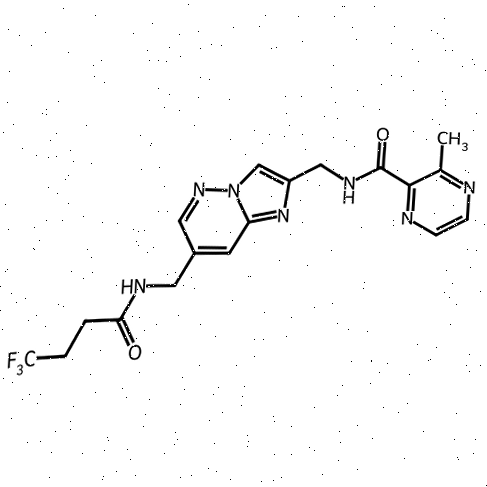 Cc1nccnc1C(=O)NCc1cn2ncc(CNC(=O)CCC(F)(F)F)cc2n1